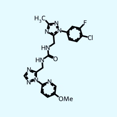 COc1ccc(-n2ncnc2CNC(=O)NCc2nc(C)nn2-c2ccc(Cl)c(F)c2)nc1